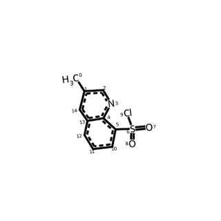 Cc1cnc2c(S(=O)(=O)Cl)cccc2c1